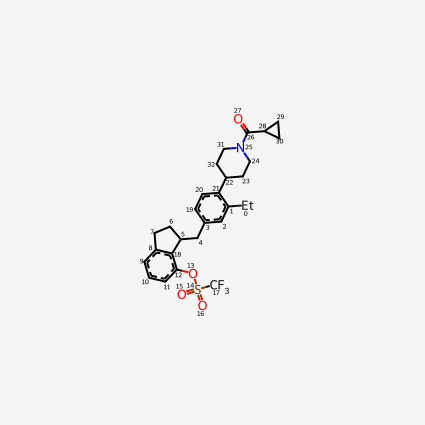 CCc1cc(CC2CCc3cccc(OS(=O)(=O)C(F)(F)F)c32)ccc1C1CCN(C(=O)C2CC2)CC1